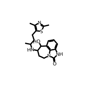 Cc1nc(C)c(CCC(C)NC2CCn3c(=O)[nH]c4cccc(c43)C2O)s1